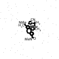 C=C(NC)c1ccc2c(c1)CCc1cc(C(=O)NC)ccc1C2(C[C@@H](C)NCC(=C)N1CCCC1C#N)C(=N)NC